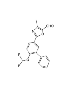 Cc1nc(-c2ccc(OC(F)F)c(-c3ccccc3)c2)oc1C=O